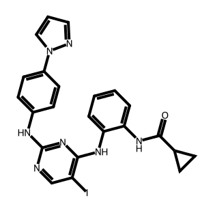 O=C(Nc1ccccc1Nc1nc(Nc2ccc(-n3cccn3)cc2)ncc1I)C1CC1